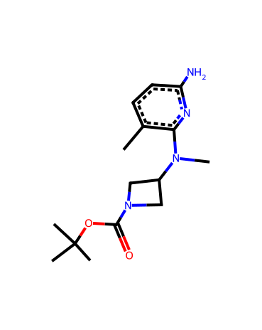 Cc1ccc(N)nc1N(C)C1CN(C(=O)OC(C)(C)C)C1